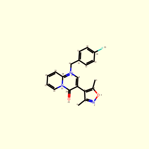 Cc1noc(C)c1-c1c[n+](Cc2ccc(F)cc2)c2ccccn2c1=O